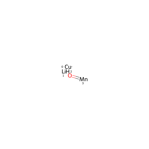 [Cu].[LiH].[O]=[Mn]